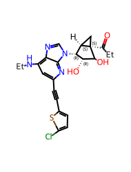 CCNc1cc(C#Cc2ccc(Cl)s2)nc2c1ncn2[C@@H]1[C@H]2C[C@@]2(C(=O)CC)C(O)[C@@H]1O